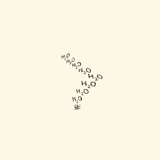 O.O.O.O.O.O.O.O.[Sb]